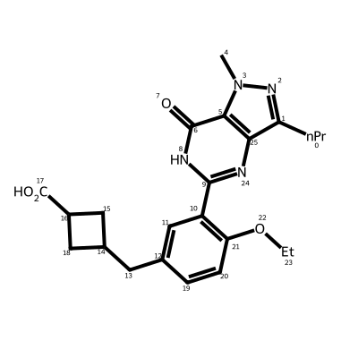 CCCc1nn(C)c2c(=O)[nH]c(-c3cc(CC4CC(C(=O)O)C4)ccc3OCC)nc12